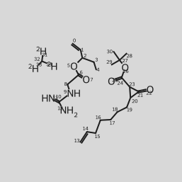 C=CC(CC)OC(=O)CNC(=N)N.C=CCCCCCC1C(=O)C1C(=O)OC(C)(C)C.[2H]C([2H])[2H]